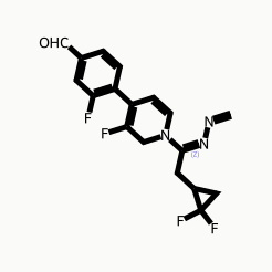 C=N/N=C(/CC1CC1(F)F)N1C=CC(c2ccc(C=O)cc2F)=C(F)C1